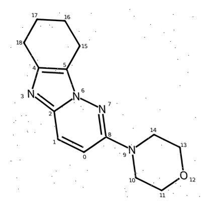 c1cc2nc3c(n2nc1N1CCOCC1)CCCC3